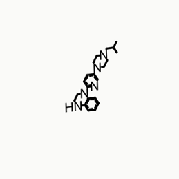 CC(C)CN1CCN(c2ccc(N3CCNc4ccccc43)nc2)CC1